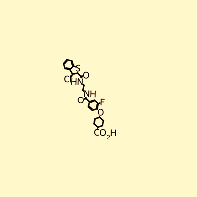 O=C(NCCNC(=O)C1Sc2ccccc2C1Cl)c1ccc(O[C@H]2CC[C@@H](C(=O)O)CC2)c(F)c1